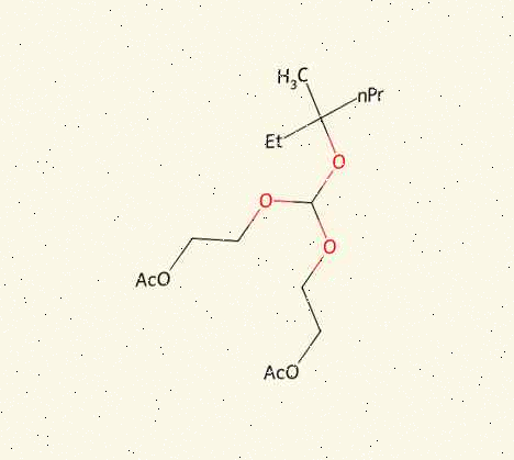 CCCC(C)(CC)OC(OCCOC(C)=O)OCCOC(C)=O